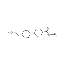 CCC[C@H]1CC[C@H](C2CCC(C(=O)NN)CC2)CC1